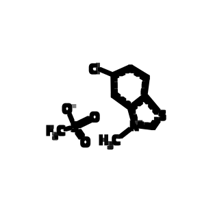 C[n+]1csc2ccc(Cl)cc21.O=S(=O)([O-])C(F)(F)F